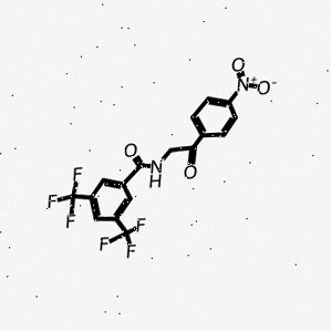 O=C(CNC(=O)c1cc(C(F)(F)F)cc(C(F)(F)F)c1)c1ccc([N+](=O)[O-])cc1